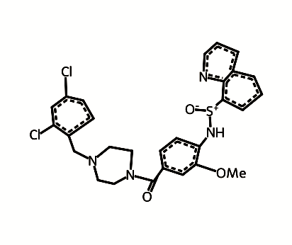 COc1cc(C(=O)N2CCN(Cc3ccc(Cl)cc3Cl)CC2)ccc1N[S+]([O-])c1cccc2cccnc12